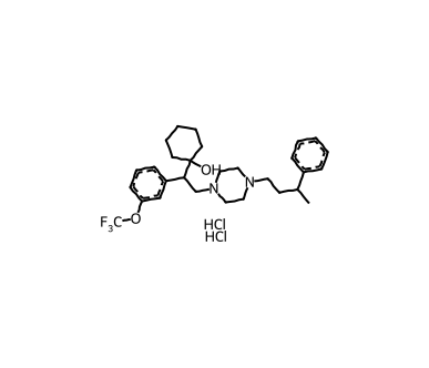 CC(CCN1CCN(CC(c2cccc(OC(F)(F)F)c2)C2(O)CCCCC2)CC1)c1ccccc1.Cl.Cl